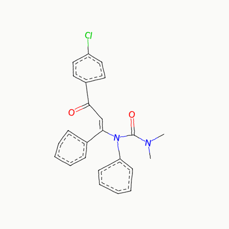 CN(C)C(=O)N(C(=CC(=O)c1ccc(Cl)cc1)c1ccccc1)c1ccccc1